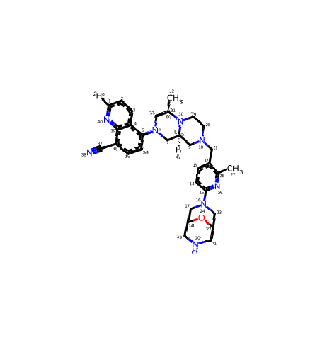 [2H]c1ccc2c(N3C[C@@H]4CN(Cc5ccc(N6CC7CNCC(C6)O7)nc5C)CCN4[C@H](C)C3)ccc(C#N)c2n1